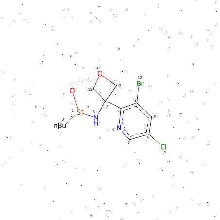 CCCC[S+]([O-])NC1(c2ncc(Cl)cc2Br)COC1